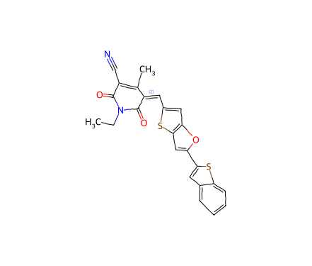 CCN1C(=O)C(C#N)=C(C)/C(=C/c2cc3oc(-c4cc5ccccc5s4)cc3s2)C1=O